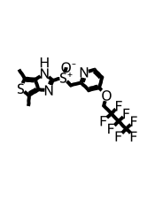 Cc1sc(C)c2[nH]c([S+]([O-])Cc3cc(OCC(F)(F)C(F)(F)C(F)(F)F)ccn3)nc12